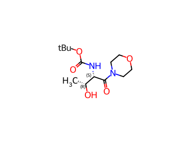 C[C@@H](O)[C@H](NC(=O)OC(C)(C)C)C(=O)N1CCOCC1